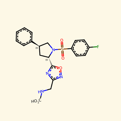 O=C(O)NCc1noc([C@@H]2C[C@@H](c3ccccc3)CN2S(=O)(=O)c2ccc(F)cc2)n1